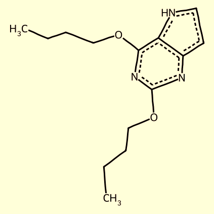 CCCCOc1nc(OCCCC)c2[nH]ccc2n1